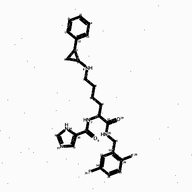 O=C(NC(CCCCNC1CC1c1ccccc1)C(=O)NCc1cc(F)ccc1F)c1cnc[nH]1